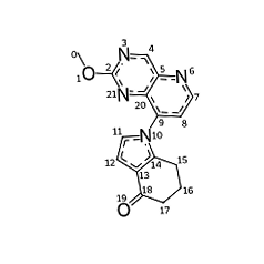 COc1ncc2nccc(-n3ccc4c3CCCC4=O)c2n1